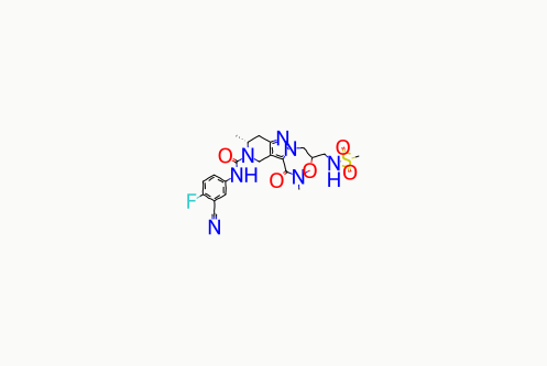 C[C@@H]1Cc2nn3c(c2CN1C(=O)Nc1ccc(F)c(C#N)c1)C(=O)N(C)OC(CNS(C)(=O)=O)C3